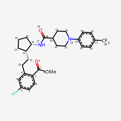 COC(=O)c1ccc(F)cc1CC[C@@H]1CCC[C@@H]1NC(=O)C1CCN(c2ccc(C(F)(F)F)cc2)CC1